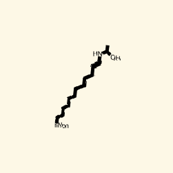 CCCCCCCCCCCCCCCCCCCC=CNC(C)O